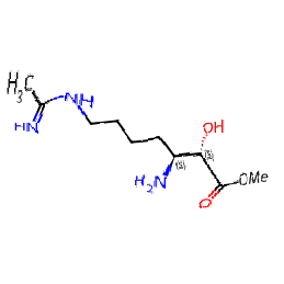 COC(=O)[C@@H](O)[C@@H](N)CCCCNC(C)=N